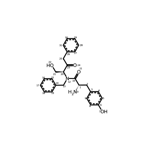 N[C@@H](Cc1ccc(O)cc1)C(=O)N(Cc1ccccc1)[C@@H](CO)C(=O)[CH]c1ccccc1